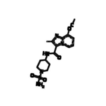 CCOc1cccn2c(C(=O)NC3CCN(S(N)(=O)=O)CC3)c(C)nc12